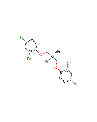 CC(C)[Si](COc1ccc(F)cc1Br)(COc1ccc(F)cc1Br)C(C)C